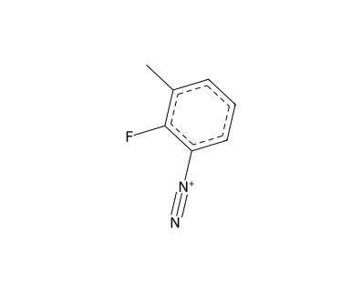 Cc1cccc([N+]#N)c1F